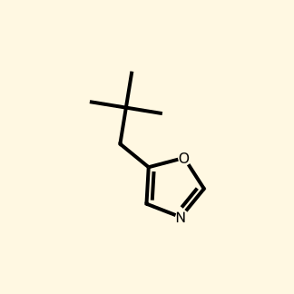 CC(C)(C)Cc1cnco1